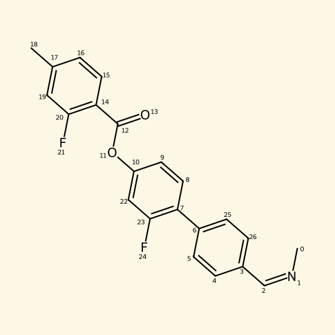 C/N=C\c1ccc(-c2ccc(OC(=O)c3ccc(C)cc3F)cc2F)cc1